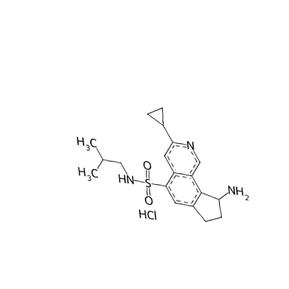 CC(C)CNS(=O)(=O)c1cc2c(c3cnc(C4CC4)cc13)C(N)CC2.Cl